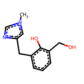 Cn1cnc(Cc2cccc(CO)c2O)c1